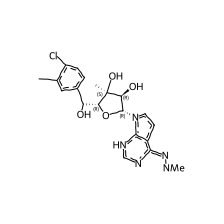 CNN=c1nc[nH]c2c1ccn2[C@@H]1O[C@H](C(O)c2ccc(Cl)c(C)c2)[C@@](C)(O)[C@H]1O